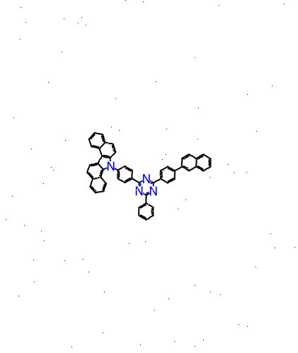 c1ccc(-c2nc(-c3ccc(-c4ccc5ccccc5c4)cc3)nc(-c3ccc(-n4c5ccc6ccccc6c5c5ccc6ccccc6c54)cc3)n2)cc1